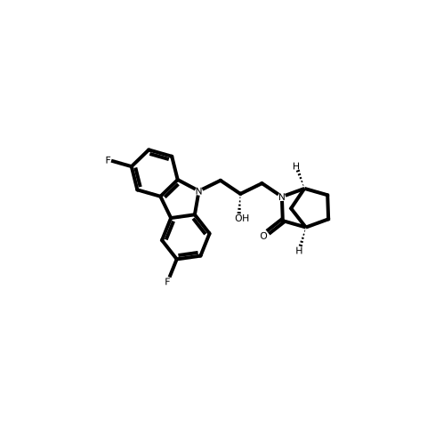 O=C1[C@@H]2CC[C@@H](C2)N1C[C@H](O)Cn1c2ccc(F)cc2c2cc(F)ccc21